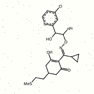 CCCC(ON=C(C1=C(O)CC(CCSC)CC1=O)C1CC1)C(O)c1cc(Cl)ccn1